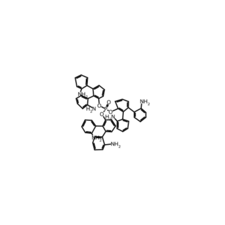 Nc1ccccc1-c1cccc(OP(=O)(Oc2cccc(-c3ccccc3N)c2-c2ccccc2N)Oc2cccc(-c3ccccc3N)c2-c2ccccc2N)c1-c1ccccc1N